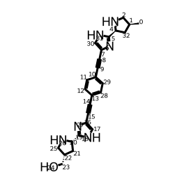 C[C@@H]1CN[C@H](c2nc(C#Cc3ccc(C#Cc4c[nH]c([C@@H]5C[C@H](CO)CN5)n4)cc3)c[nH]2)C1